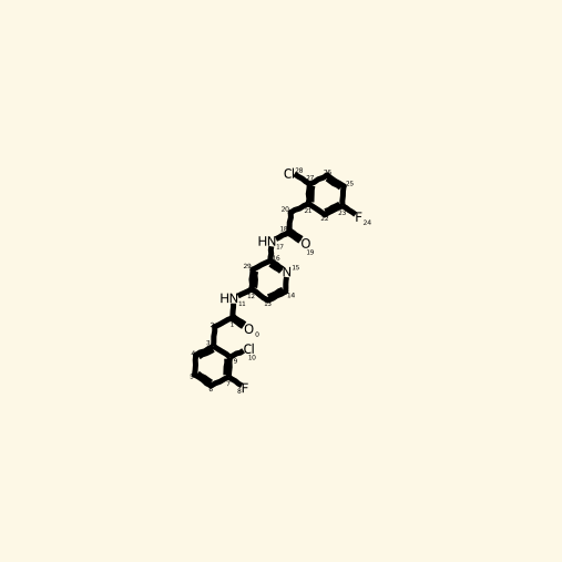 O=C(Cc1cccc(F)c1Cl)Nc1ccnc(NC(=O)Cc2cc(F)ccc2Cl)c1